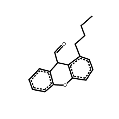 CCCCc1cccc2c1C(C=O)c1ccccc1O2